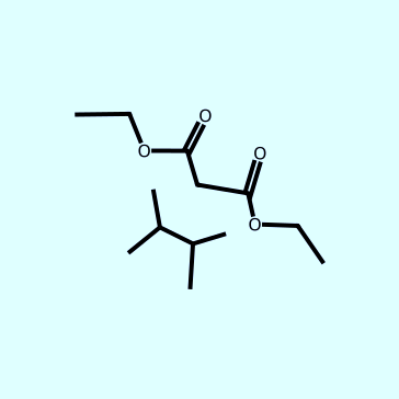 CC(C)C(C)C.CCOC(=O)CC(=O)OCC